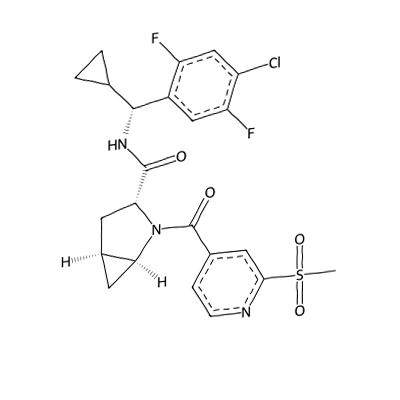 CS(=O)(=O)c1cc(C(=O)N2[C@@H](C(=O)N[C@@H](c3cc(F)c(Cl)cc3F)C3CC3)C[C@@H]3C[C@@H]32)ccn1